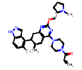 C=CC(=O)N1CCN(c2nc(OC[C@@H]3CCCN3C)nc3c2CC(C)C(c2c(C)ccc4[nH]ncc24)C3)CC1